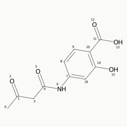 CC(=O)CC(=O)Nc1ccc(C(=O)O)c(O)c1